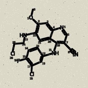 COc1cc2ncc(C#N)c(Nc3ccc(F)c(Cl)c3)c2cc1NCCCl